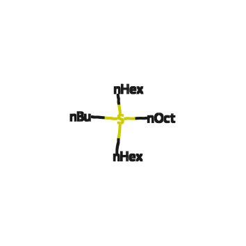 CCCCCCCCS(CCCC)(CCCCCC)CCCCCC